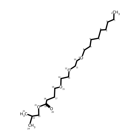 CCCCCCCCCOCCOCCOCCCC(=O)OCC(C)C